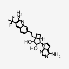 CC(F)(F)c1cc2ccc(CC[C@@]34CC[C@@H]3[C@@H](n3ccc5c(N)ncnc53)[C@H](O)[C@@H]4O)cc2nc1N